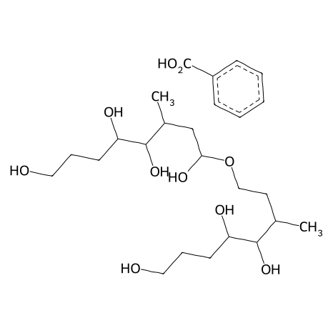 CC(CCOC(O)CC(C)C(O)C(O)CCCO)C(O)C(O)CCCO.O=C(O)c1ccccc1